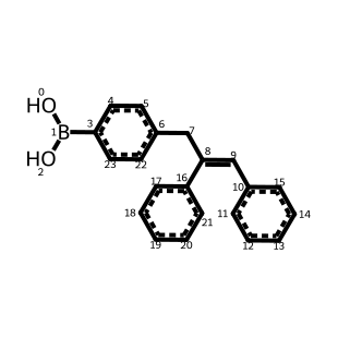 OB(O)c1ccc(C/C(=C/c2ccccc2)c2ccccc2)cc1